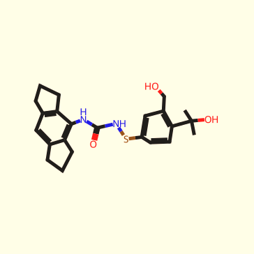 CC(C)(O)c1ccc(SNC(=O)Nc2c3c(cc4c2CCC4)CCC3)cc1CO